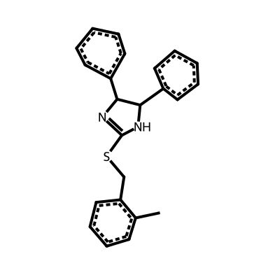 Cc1ccccc1CSC1=NC(c2ccccc2)C(c2ccccc2)N1